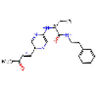 COC(=O)/C=C/c1cnc(N[C@H](CC(C)C)C(=O)NCCc2ccccc2)cn1